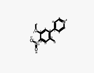 COc1cc(-c2ccncc2)c(C)cc1[N+](=O)[O-]